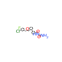 NC(=O)CNC(=O)c1cccc(-c2cccc3oc(Cc4ccc(F)c(Cl)c4)cc23)c1